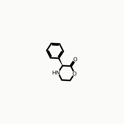 O=C1OCCN[C@H]1c1ccccc1